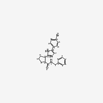 O=C(NCc1ccccc1)C1CCCC1c1ncc(-c2ccc(Br)cc2)[nH]1